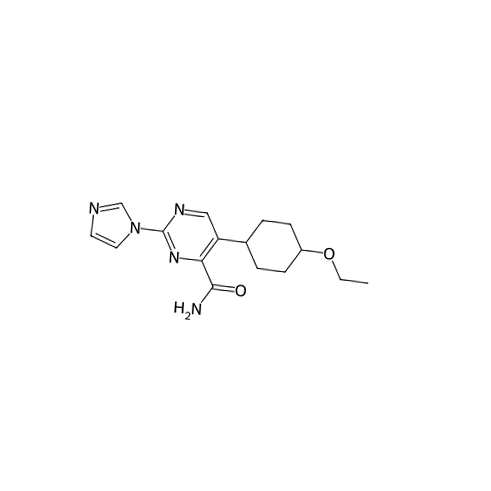 CCOC1CCC(c2cnc(-n3ccnc3)nc2C(N)=O)CC1